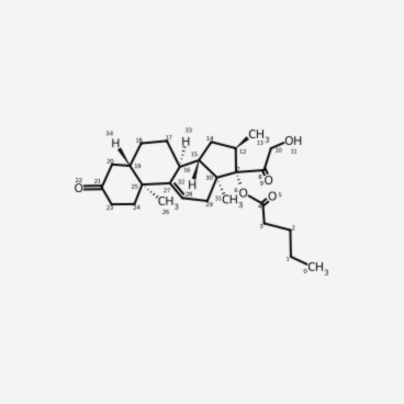 CCCCC(=O)O[C@@]1(C(=O)CO)[C@H](C)C[C@H]2[C@@H]3CC[C@H]4CC(=O)CC[C@]4(C)C3=CC[C@@]21C